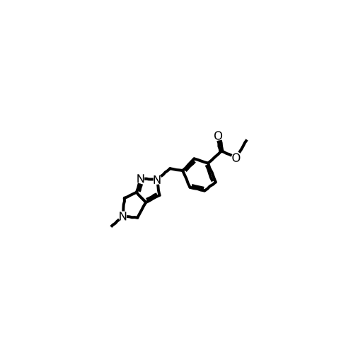 COC(=O)c1cccc(Cn2cc3c(n2)CN(C)C3)c1